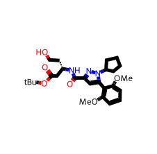 COc1cccc(OC)c1-c1cc(C(=O)N[C@@H](CCO)CC(=O)OC(C)(C)C)nn1C1CCCC1